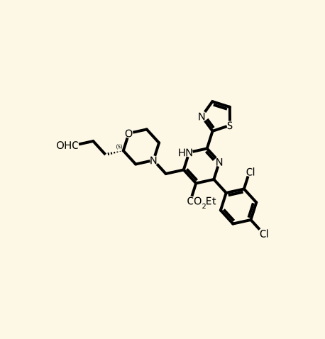 CCOC(=O)C1=C(CN2CCO[C@@H](CCC=O)C2)NC(c2nccs2)=NC1c1ccc(Cl)cc1Cl